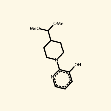 COC(OC)C1CCN(c2ncccc2O)CC1